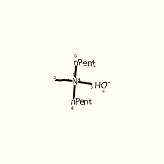 CCCCC[N+](C)(C)CCCCC.[OH-]